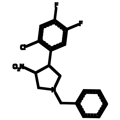 O=[N+]([O-])C1CN(Cc2ccccc2)CC1c1cc(F)c(F)cc1Cl